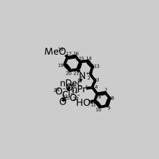 CCCCCCCCCC[n+]1c(CC(CCC)c2ccccc2O)ccc2cc(OC)ccc21.[O-][Cl+3]([O-])([O-])[O-]